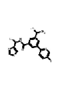 CC(NC(=O)c1cc(-c2ccc(F)cn2)cc(C(O)C(F)(F)F)c1)c1cscn1